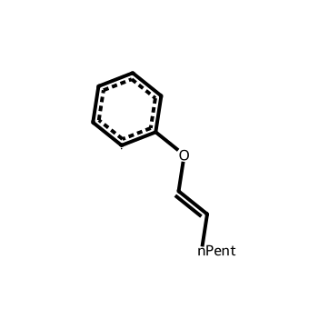 CCCCCC=COc1[c]cccc1